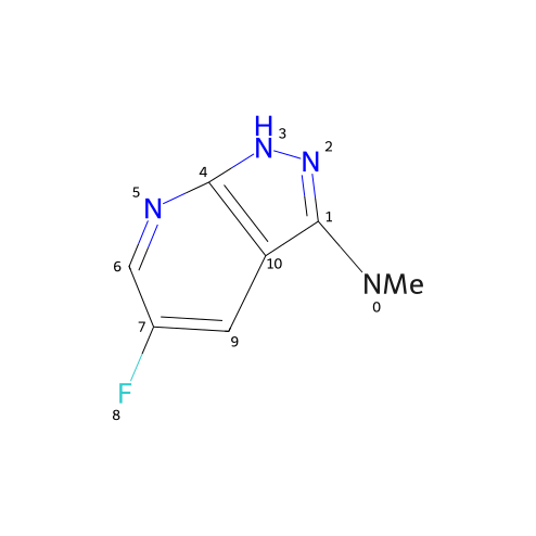 CNc1n[nH]c2ncc(F)cc12